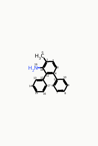 Cc1ccc(-c2ccccc2)c(-c2ccccc2)c1N